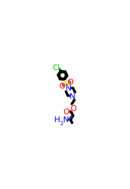 C/C(N)=C/C(=O)OCCN1CCN(S(=O)(=O)c2ccc(Cl)cc2)CC1